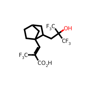 O=C(O)C(=CC12CCC(CC1CC(O)(C(F)(F)F)C(F)(F)F)C2)C(F)(F)F